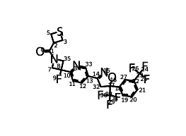 O=C(C1CSC1)N1CC(F)(c2ccc(C3=NOC(c4cccc(C(F)(F)F)c4)(C(F)(F)F)C3)cn2)C1